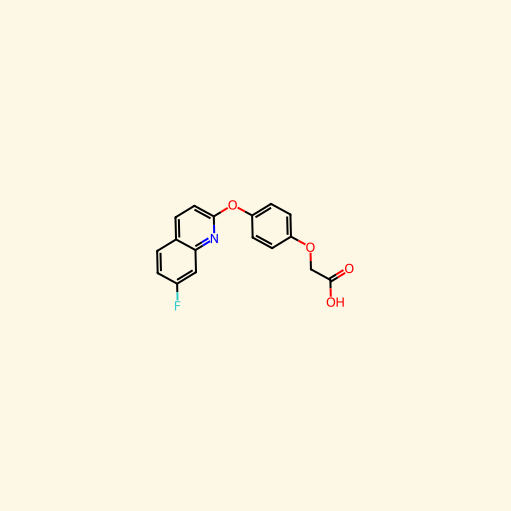 O=C(O)COc1ccc(Oc2ccc3ccc(F)cc3n2)cc1